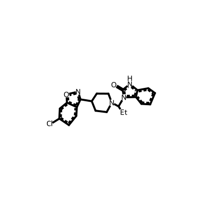 CCC(N1CCC(c2noc3cc(Cl)ccc23)CC1)n1c(=O)[nH]c2ccccc21